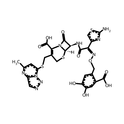 Cc1cc(SCC2=C(C(=O)O)N3C(=O)[C@@H](NC(=O)/C(=N\OCc4cc(O)c(O)cc4C(=O)O)c4csc(N)n4)[C@H]3SC2)n2nncc2n1